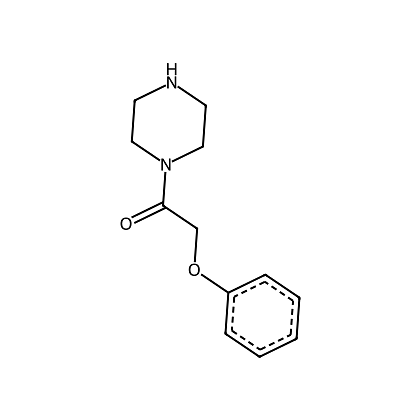 O=C(COc1ccccc1)N1CCNCC1